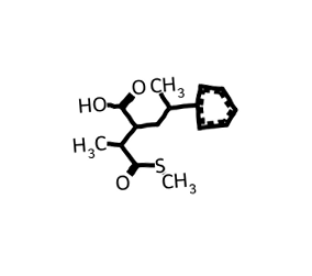 CSC(=O)C(C)C(CC(C)c1ccccc1)C(=O)O